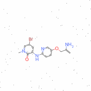 C=C(N)COc1ccc(Nc2cc(Br)cn(C)c2=O)nc1